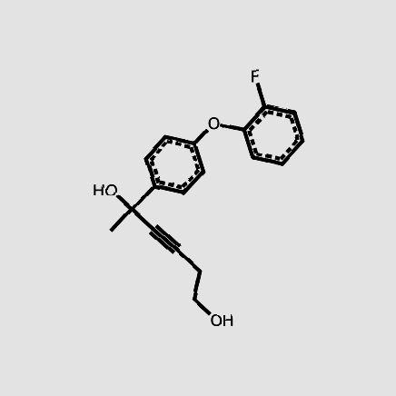 CC(O)(C#CCCO)c1ccc(Oc2ccccc2F)cc1